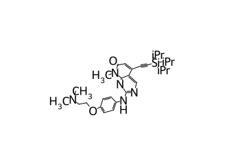 CC(C)[Si](C#Cc1cc(=O)n(C)c2nc(Nc3ccc(OCCN(C)C)cc3)ncc12)(C(C)C)C(C)C